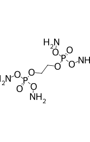 NOP(=O)(ON)OCCOP(=O)(ON)ON